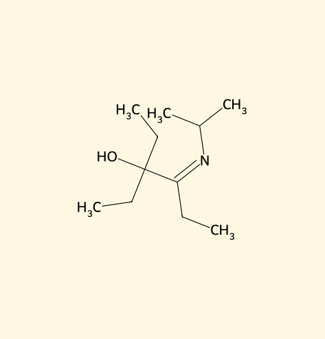 CCC(=NC(C)C)C(O)(CC)CC